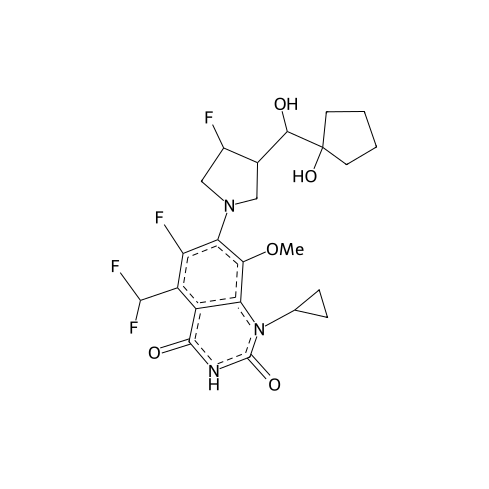 COc1c(N2CC(F)C(C(O)C3(O)CCCC3)C2)c(F)c(C(F)F)c2c(=O)[nH]c(=O)n(C3CC3)c12